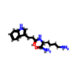 NCCCC[C@H](NC(=O)CCc1c[nH]c2ccccc12)C(N)=O